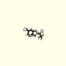 CC(C)(C)C(=O)N1Cc2cc(Cl)cnc2C1